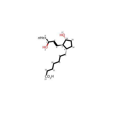 CCCCCC[C@H](O)C=C[C@@H]1[C@@H](CCCCCCC(=O)O)CC[C@H]1O